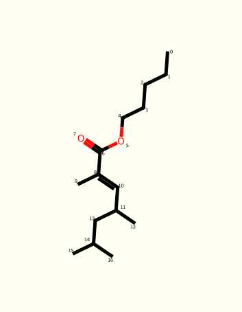 CCCCCOC(=O)C(C)=CC(C)CC(C)C